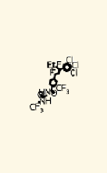 CCC(F)(F)C(C=C(F)c1ccc(C(=O)NCC(=O)NCC(F)(F)F)c(C(F)(F)F)c1)c1cc(Cl)c(Cl)c(Cl)c1